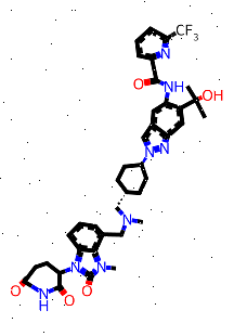 CN(Cc1cccc2c1n(C)c(=O)n2C1CCC(=O)NC1=O)C[C@H]1CC[C@H](n2cc3cc(NC(=O)c4cccc(C(F)(F)F)n4)c(C(C)(C)O)cc3n2)CC1